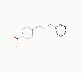 CC(C)(C)OC(=O)N1CCC(CCCc2cccc(O)c2)CC1